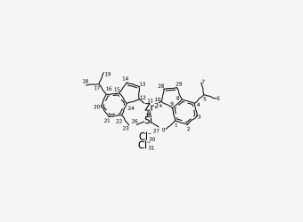 Cc1ccc(C(C)C)c2c1[CH]([Zr+2]([CH]1C=Cc3c(C(C)C)ccc(C)c31)=[Si](C)C)C=C2.[Cl-].[Cl-]